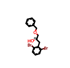 O[C@H](COCc1ccccc1)Cc1c(Br)cccc1Br